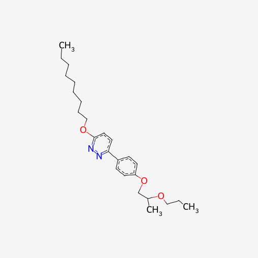 CCCCCCCCCOc1ccc(-c2ccc(OCC(C)OCCC)cc2)nn1